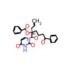 C=CC[C@@]1(OC(=O)c2ccccc2)CC(CC(=O)c2ccccc2)OC1n1ccc(=O)[nH]c1=O